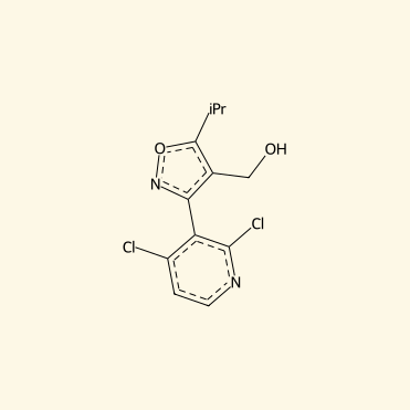 CC(C)c1onc(-c2c(Cl)ccnc2Cl)c1CO